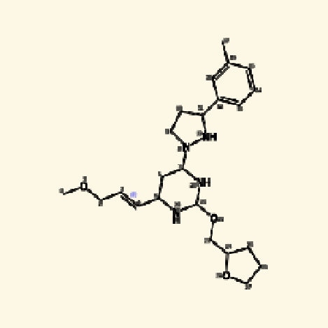 COC/C=C/C1CC(N2CCC(c3cccc(C)c3)N2)NC(OCC2CCCO2)N1